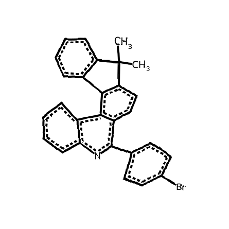 CC1(C)c2ccccc2-c2c1ccc1c(-c3ccc(Br)cc3)nc3ccccc3c21